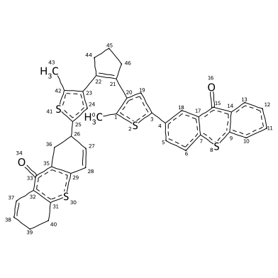 Cc1sc(-c2ccc3sc4ccccc4c(=O)c3c2)cc1C1=C(c2cc(C3C=Cc4sc5c(c(=O)c4C3)C=CCC5)sc2C)CCC1